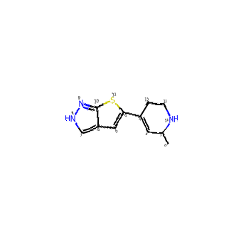 CC1C=C(c2cc3c[nH]nc3s2)CCN1